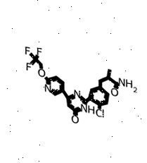 CC(Cc1ccc(Cl)c(-c2nc(-c3ccc(OCC(F)(F)F)nc3)cc(=O)[nH]2)c1)C(N)=O